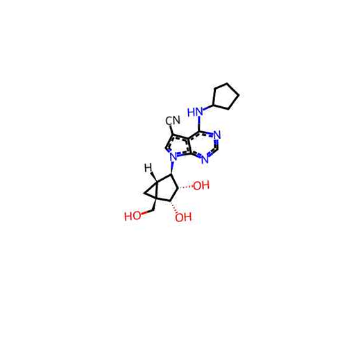 N#Cc1cn([C@H]2[C@H](O)[C@H](O)[C@]3(CO)C[C@H]23)c2ncnc(NC3CCCC3)c12